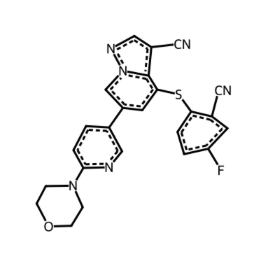 N#Cc1cc(F)ccc1Sc1cc(-c2ccc(N3CCOCC3)nc2)cn2ncc(C#N)c12